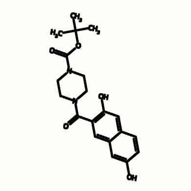 CC(C)(C)OC(=O)N1CCN(C(=O)c2cc3cc(O)ccc3cc2O)CC1